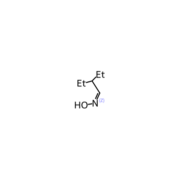 [CH2]CC(/C=N\O)CC